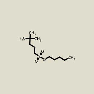 CCCCCOS(=O)(=O)CCCC(C)(C)C